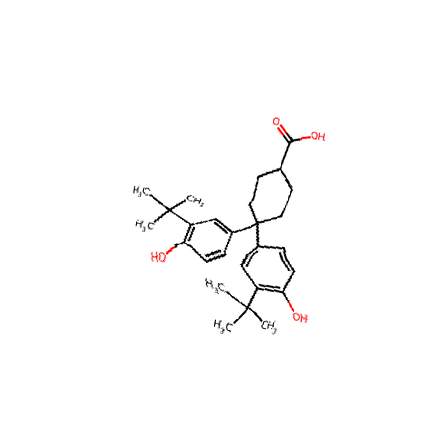 CC(C)(C)c1cc(C2(c3ccc(O)c(C(C)(C)C)c3)CCC(C(=O)O)CC2)ccc1O